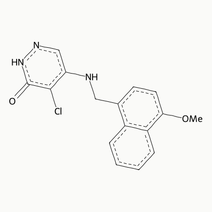 COc1ccc(CNc2cn[nH]c(=O)c2Cl)c2ccccc12